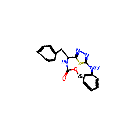 CC(C)(C)OC(=O)NC(Cc1ccccc1)c1nnc(Nc2ccccc2)s1